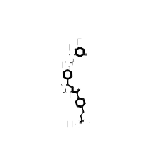 O=C(O)CCc1ccc(-c2csc3c(-c4ccc(NC(=O)Nc5cc(F)cc(F)c5F)cc4)ncnc23)cc1